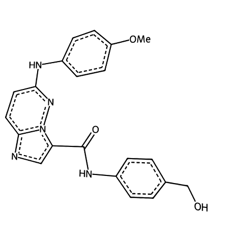 COc1ccc(Nc2ccc3ncc(C(=O)Nc4ccc(CO)cc4)n3n2)cc1